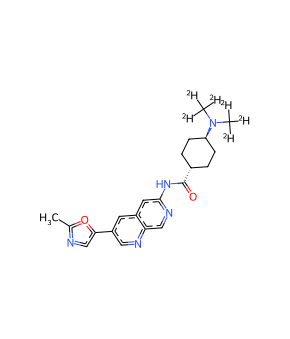 [2H]C([2H])([2H])N([C@H]1CC[C@H](C(=O)Nc2cc3cc(-c4cnc(C)o4)cnc3cn2)CC1)C([2H])([2H])[2H]